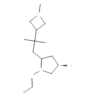 CCSN1C[C@H](O)CC1CC(C)(C)C1CN(C)C1